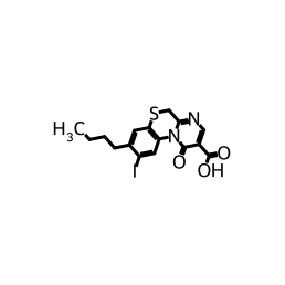 CCCCc1cc2c(cc1I)-n1c(ncc(C(=O)O)c1=O)CS2